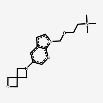 C[Si](C)(C)CCOCn1ccc2cc(N3CC4(COC4)C3)cnc21